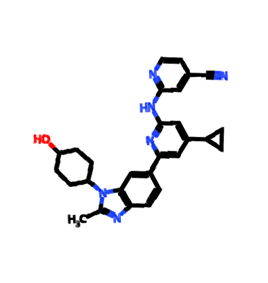 Cc1nc2ccc(-c3cc(C4CC4)cc(Nc4cc(C#N)ccn4)n3)cc2n1C1CCC(O)CC1